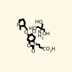 Cc1ncccc1COc1cc2oc(=O)n(CCC(=O)O)c2cc1Cl.NC(CO)(CO)CO